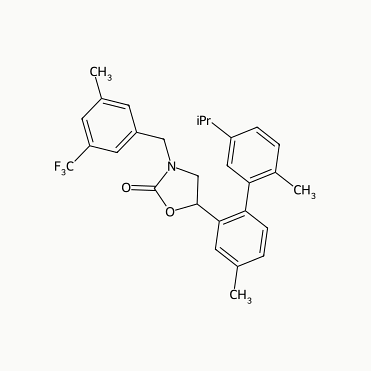 Cc1cc(CN2CC(c3cc(C)ccc3-c3cc(C(C)C)ccc3C)OC2=O)cc(C(F)(F)F)c1